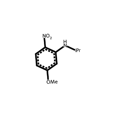 COc1ccc([N+](=O)[O-])c(NC(C)C)c1